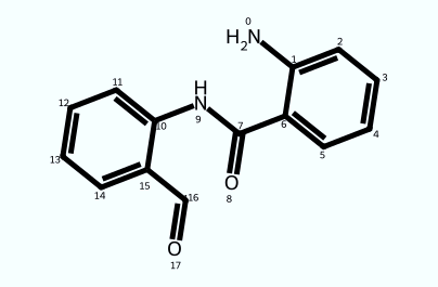 Nc1ccccc1C(=O)Nc1ccccc1[C]=O